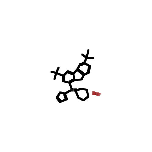 CC(C)(C)c1ccc2c(c1)-c1cc(C(C)(C)C)c[c]([Zr+2]([C]3=CC=CC3)=[C]3CCCCC3)c1C2.[Br-].[Br-]